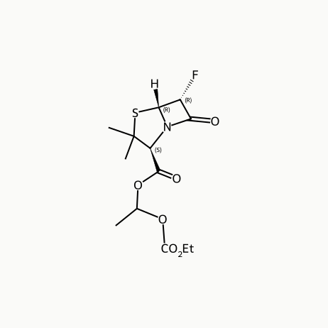 CCOC(=O)OC(C)OC(=O)[C@@H]1N2C(=O)[C@@H](F)[C@H]2SC1(C)C